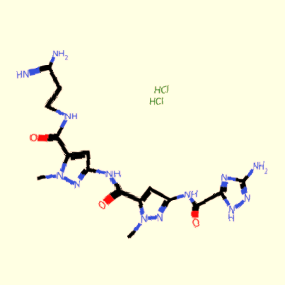 Cl.Cl.Cn1nc(NC(=O)c2cc(NC(=O)c3nc(N)n[nH]3)nn2C)cc1C(=O)NCCC(=N)N